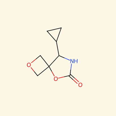 O=C1NC(C2CC2)C2(COC2)O1